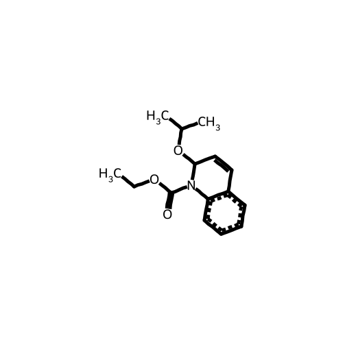 CCOC(=O)N1c2ccccc2C=CC1OC(C)C